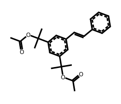 CC(=O)OC(C)(C)c1cc(/C=C/c2ccccc2)cc(C(C)(C)OC(C)=O)c1